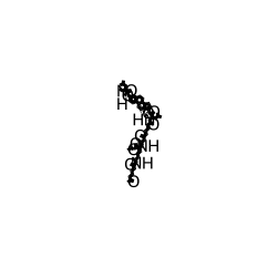 CCOC(=O)C(CCCCNC(=O)CCCCC(C)=O)NCCC(=O)CCCCC(=O)NC(CC(C)C)C(=O)O[C@H]1CCC2C3CCc4cc(OC(=O)C(CC(C)C)NC)ccc4C3CC[C@@]21C